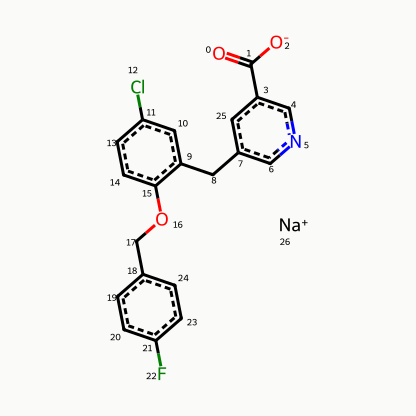 O=C([O-])c1cncc(Cc2cc(Cl)ccc2OCc2ccc(F)cc2)c1.[Na+]